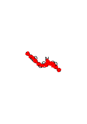 CCCC(C)(Oc1ccc(C(C)(c2ccc(C#N)cc2)c2ccc(OC(=O)C(C)(C)C(C)(CC)Oc3ccc(C(C)(C)c4ccc(OC(=O)C(C)Oc5ccc(C(C)(C)c6ccccc6)cc5)cc4)cc3)cc2)cc1)C(=O)Oc1ccc(C(C)(C)c2ccccc2)cc1